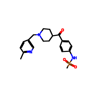 Cc1ccc(CN2CCC(C(=O)c3ccc(NS(C)(=O)=O)cc3)CC2)cn1